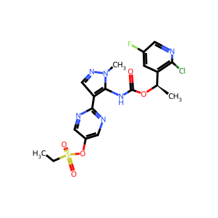 CCS(=O)(=O)Oc1cnc(-c2cnn(C)c2NC(=O)O[C@H](C)c2cc(F)cnc2Cl)nc1